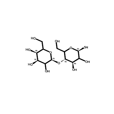 OCC1O[C@@H](S)C(O)[C@@H](O)[C@@H]1O[C@@H]1OC(CO)[C@H](O)[C@H](O)C1O